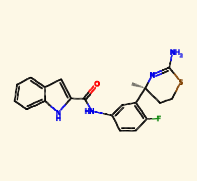 C[C@@]1(c2cc(NC(=O)c3cc4ccccc4[nH]3)ccc2F)CCSC(N)=N1